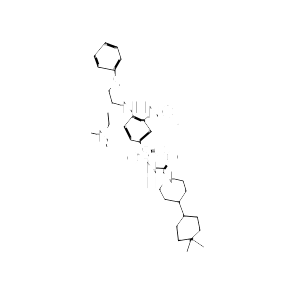 CN(C)CC[C@H](CSc1ccccc1)Nc1ccc(S(=O)(=O)NC(=O)N2CCC(C3CCC(C)(C)CC3)CC2)cc1[N+](=O)[O-]